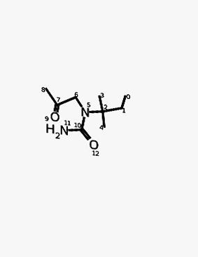 CCC(C)(C)N(CC(C)=O)C(N)=O